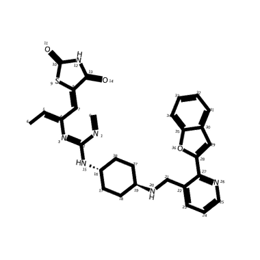 C=N\C(=N/C(=C\C)/C=C1\SC(=O)NC1=O)N[C@H]1CC[C@H](NCc2cccnc2-c2cc3ccccc3o2)CC1